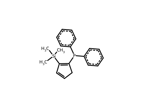 C[Si](C)(C)C1=C(P(c2ccccc2)c2ccccc2)CC=C1